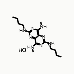 CCCCNc1nc(NC)c2nc(NCCCC)nc(NC)c2n1.Cl